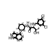 C[C@@H](O)[C@@H](Nc1cc(Cl)cc(Cl)c1)C(=O)N[C@@H]1CCCN(c2ncnc3[nH]ncc23)C1